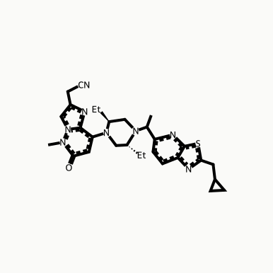 CC[C@H]1CN(C(C)c2ccc3nc(CC4CC4)sc3n2)[C@H](CC)CN1c1cc(=O)n(C)n2cc(CC#N)nc12